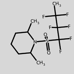 CC1CCCC(C)N1S(=O)(=O)C(F)(F)C(F)(F)C(C)(F)F